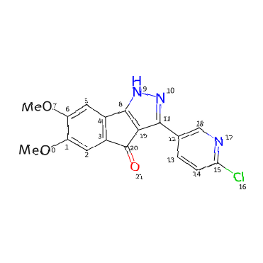 COc1cc2c(cc1OC)-c1[nH]nc(-c3ccc(Cl)nc3)c1C2=O